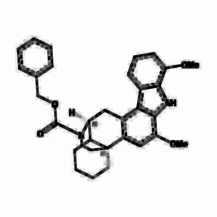 COc1cccc2c1[nH]c1c(OC)cc3c(c12)C[C@H]1C2CCCC[C@@]32CCN1C(=O)OCc1ccccc1